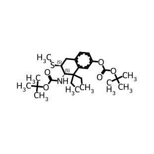 CCC1(CC)c2cc(OC(=O)OC(C)(C)C)ccc2C[C@H](SC)[C@H]1NC(=O)OC(C)(C)C